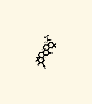 CN(C)C(=O)N[C@]12CCC(C)(C)CC1C1C(=O)C=C3[C@@]4(C)C=C(C#N)C(=O)C5(C)C[C@]54CC[C@@]3(C)[C@]1(C)CC2